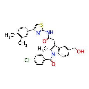 Cc1ccc(-c2csc(NC(=O)Cc3c(C)n(C(=O)c4ccc(Cl)cc4)c4ccc(CO)cc34)n2)cc1C